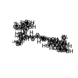 CCC(=O)OC1[C@H](O)C(CO[C@@H]2OC(CO)[C@@H](OP(=O)(O)O)[C@H](OC(=O)CC)C2NC(=O)C[C@@H](CC)OC(=O)CC)O[C@@H](OCCNC(=O)CCC(=O)NCc2cn(CCO[C@@H]3OC(CO)[C@@H](O[C@@H]4OC(CO)[C@H](O)C(O[C@]5(C(=O)O)C[C@@H](O)[C@@H](NC(=O)Cc6ccccc6)C([C@H](O)[C@H](O)CO)O5)[C@@H]4O)C(O)[C@@H]3O)nn2)[C@H]1NC(=O)C[C@@H](CC)OC(=O)CC